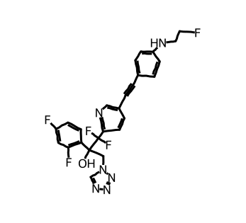 OC(Cn1cnnn1)(c1ccc(F)cc1F)C(F)(F)c1ccc(C#Cc2ccc(NCCF)cc2)cn1